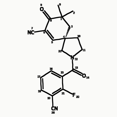 CC1(C)C[C@]2(C=C(C#N)C1=O)CCN(C(=O)c1cccc(C#N)c1F)C2